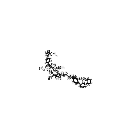 Cc1ncsc1-c1ccc([C@H](C)NC(=O)[C@@H]2C[C@@H](O)CN2C(=O)C(c2cc(OCCCNc3ccc(-c4cnnc(-c5ccccc5O)c4)cc3)no2)C(C)C)cc1